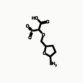 BC1CCC(COC(C(=O)O)P(=O)=O)O1